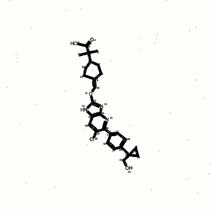 CC(C)(C(=O)O)C1CCC(=COc2nc3nc(-c4ccc(C5(CO)CC5)cc4)c(Cl)cc3[nH]2)CC1